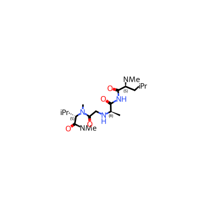 CNC(=O)[C@H](C(C)C)N(C)C(=O)CN[C@H](C)C(=O)NC(=O)[C@H](CC(C)C)NC